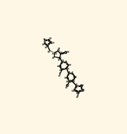 Cn1nnc(-c2ccc(-c3ccc(N4C[C@H](Cn5ccnn5)OC4=O)cc3F)c[n+]2[O-])n1